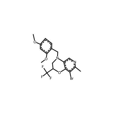 COc1ccc(CN2CC(C(F)(F)F)Oc3c2cnc(C)c3Br)c(OC)c1